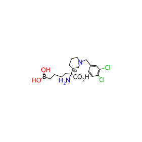 NC(CCCCB(O)O)(C(=O)O)[C@H]1CCCN(Cc2ccc(Cl)c(Cl)c2)C1